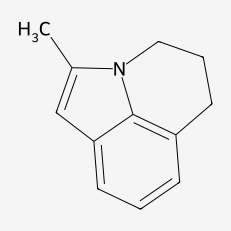 Cc1cc2cccc3c2n1CCC3